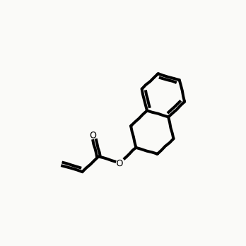 C=CC(=O)OC1CCc2ccccc2C1